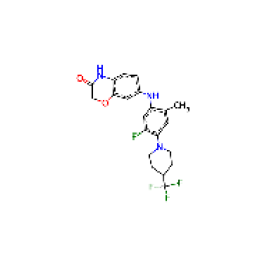 Cc1cc(N2CCC(C(F)(F)F)CC2)c(F)cc1Nc1ccc2c(c1)OCC(=O)N2